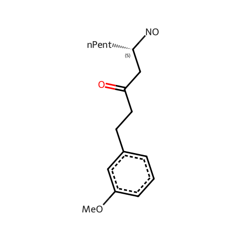 CCCCC[C@@H](CC(=O)CCc1cccc(OC)c1)N=O